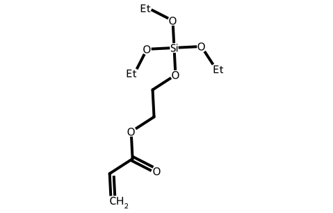 C=CC(=O)OCCO[Si](OCC)(OCC)OCC